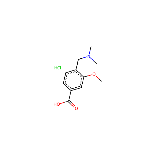 COc1cc(C(=O)O)ccc1CN(C)C.Cl